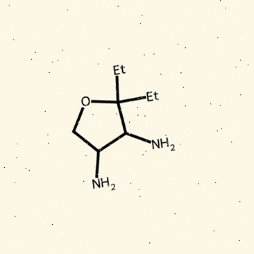 CCC1(CC)OCC(N)C1N